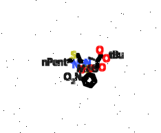 CCCCCC1=NC(N(C[C@@H](C(=O)OC)C(=O)OC(C)(C)C)S(=O)(=O)c2ccccc2[N+](=O)[O-])CS1